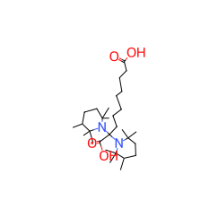 CC1CCC(C)(C)N(C(CCCCCCCC(=O)O)(C(=O)O)N2C(C)(C)CCC(C)C2(C)C)C1(C)C